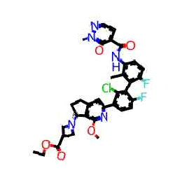 CCOC(=O)C1CN([C@H]2CCc3cc(-c4ccc(F)c(-c5c(F)ccc(NC(=O)c6ccnn(C)c6=O)c5C)c4Cl)nc(OC)c32)C1